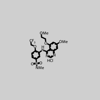 CNS(=O)(=O)c1ccc(OCC(F)(F)F)c(Nc2ncnc3cc(OC)cc(OCCOC)c23)c1.Cl